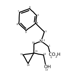 O=C(O)CN(Cc1ccccc1)CC1(CO)CC1